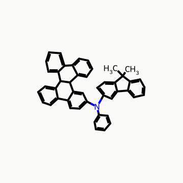 CC1(C)c2ccccc2-c2cc(N(c3ccccc3)c3ccc4c(c3)C3c5ccccc5-c5ccccc5C3c3ccccc3-4)ccc21